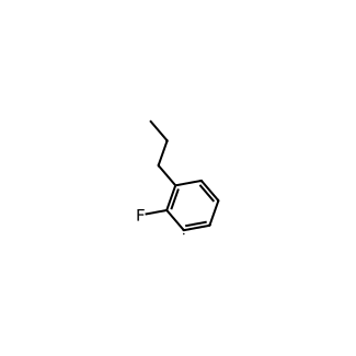 CCCc1ccc[c]c1F